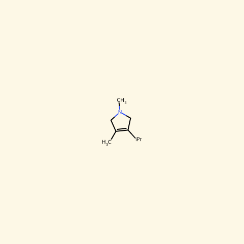 CC1=C(C(C)C)CN(C)C1